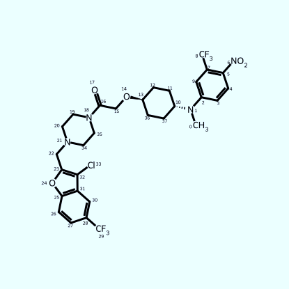 CN(c1ccc([N+](=O)[O-])c(C(F)(F)F)c1)[C@H]1CC[C@H](OCC(=O)N2CCN(Cc3oc4ccc(C(F)(F)F)cc4c3Cl)CC2)CC1